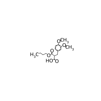 CCCCOC(=O)C(Cc1ccc(OC)c(OC)c1)C(=O)O